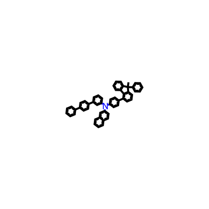 CC1(c2ccccc2)c2ccccc2-c2c(-c3ccc(N(c4cccc(-c5ccc(-c6ccccc6)cc5)c4)c4ccc5ccccc5c4)cc3)cccc21